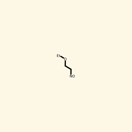 CCOCCN=O